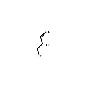 C=CCCCC.[LiH]